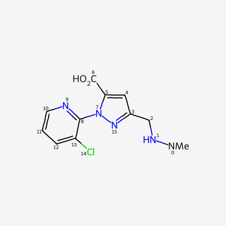 CNNCc1cc(C(=O)O)n(-c2ncccc2Cl)n1